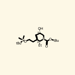 CC[C@@H]1C(CCO[Si](C)(C)C(C)(C)C)=C[C@H](O)CN1C(=O)OC(C)(C)C